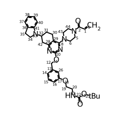 C=CC(=O)N1CCN(c2nc(OCc3cccc(OCCNC(=O)OC(C)(C)C)c3)nc3c2CCC(N2CCc4ccccc42)C3)CC1